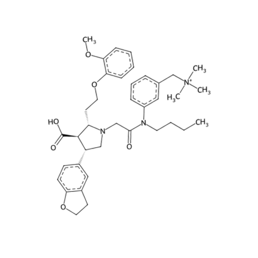 CCCCN(C(=O)CN1C[C@H](c2ccc3c(c2)CCO3)[C@@H](C(=O)O)[C@@H]1CCOc1ccccc1OC)c1cccc(C[N+](C)(C)C)c1